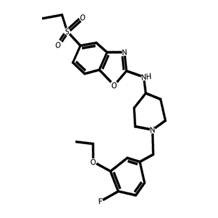 CCOc1cc(CN2CCC(Nc3nc4cc(S(=O)(=O)CC)ccc4o3)CC2)ccc1F